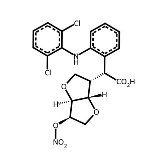 O=C(O)C(c1ccccc1Nc1c(Cl)cccc1Cl)[C@H]1CO[C@H]2[C@H]1OC[C@H]2O[N+](=O)[O-]